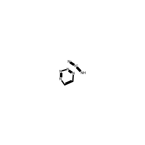 [N-]=[N+]=N.c1cnnnn1